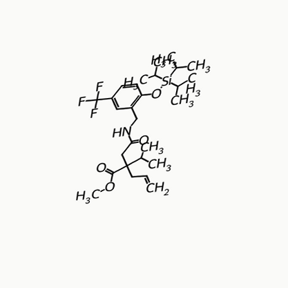 C=CCC(CC(=O)NCc1cc(C(F)(F)F)ccc1O[Si](C(C)C)(C(C)C)C(C)C)(C(=O)OC)C(C)C